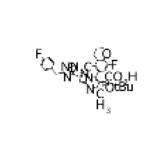 Cc1nc2cc(-c3nc(Cc4ccc(F)cc4)no3)nn2c(-c2cc(F)c3c(c2C)CCCO3)c1[C@H](OC(C)(C)C)C(=O)O